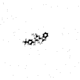 Cc1nc2ccccc2n1-c1nc(N)nc(Nc2ccc(C(F)(F)F)nc2)n1